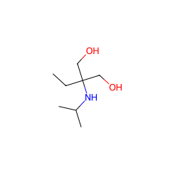 CCC(CO)(CO)NC(C)C